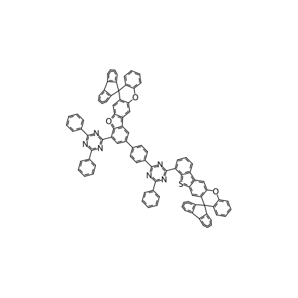 c1ccc(-c2nc(-c3ccccc3)nc(-c3cc(-c4ccc(-c5nc(-c6ccccc6)nc(-c6cccc7c6sc6cc8c(cc67)Oc6ccccc6C86c7ccccc7-c7ccccc76)n5)cc4)cc4c3oc3cc5c(cc34)Oc3ccccc3C53c4ccccc4-c4ccccc43)n2)cc1